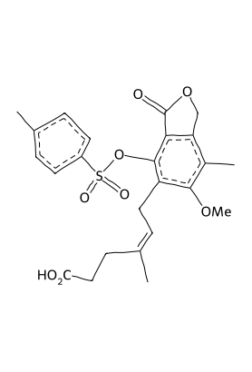 COc1c(C)c2c(c(OS(=O)(=O)c3ccc(C)cc3)c1CC=C(C)CCC(=O)O)C(=O)OC2